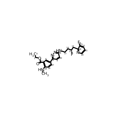 CCOC(=O)c1cc(-c2ccc(NCC[C@H](F)Cc3ncccc3F)nn2)ccc1NC